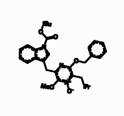 COc1c(Cc2cn(C(=O)OC(C)(C)C)c3ccccc23)nc(OCc2ccccc2)c(CC(C)C)[n+]1[O-]